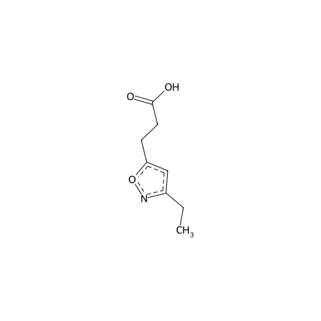 CCc1cc(CCC(=O)O)on1